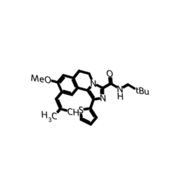 COc1cc2c(cc1C=C(C)C)-c1c(-c3cccs3)nc(C(=O)NCC(C)(C)C)n1CC2